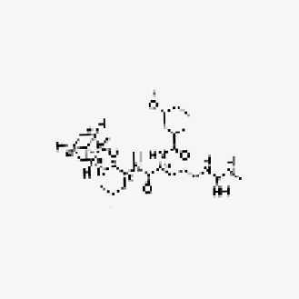 CNC(=N)NCCC[C@H](NC(=O)C1CCCC(OC)C1)C(=O)N[C@@H](CC(C)C)B1O[C@@H]2C[C@@H]3C[C@@H](C3(C)C)[C@]2(C)O1